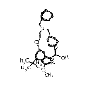 COc1nn(C(=O)O)c2cc(OCCN(Cc3ccccc3)Cc3ccccc3)cc(C(C)(C)C)c12